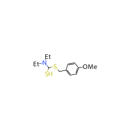 CCN(CC)C(S)SCc1ccc(OC)cc1